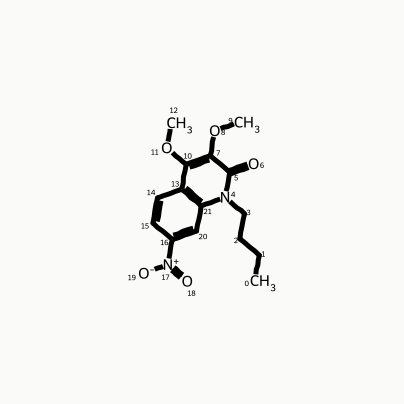 CCCCn1c(=O)c(OC)c(OC)c2ccc([N+](=O)[O-])cc21